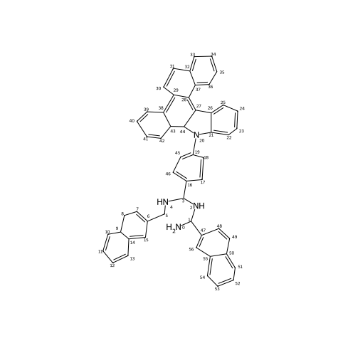 NC(NC(NCC1=CCC2C=CC=CC2=C1)c1ccc(N2c3ccccc3C3=c4c(ccc5ccccc45)=C4C=CC=CC4C32)cc1)c1ccc2ccccc2c1